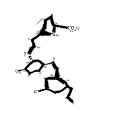 C/C=C/c1cc(Cl)cc(/C=C\[C@H]2CC[C@@H](Cl)[C@@H]2CCCc2ccc(C(=O)O)s2)c1